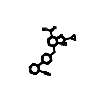 N#Cc1ccccc1-c1ccc(Cc2ccc(C(=O)O)c3nc(C4CC4)[nH]c23)cc1